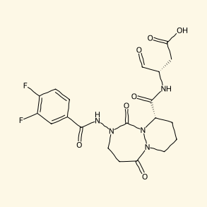 O=C[C@H](CC(=O)O)NC(=O)[C@@H]1CCCN2C(=O)CCN(NC(=O)c3ccc(F)c(F)c3)C(=O)N12